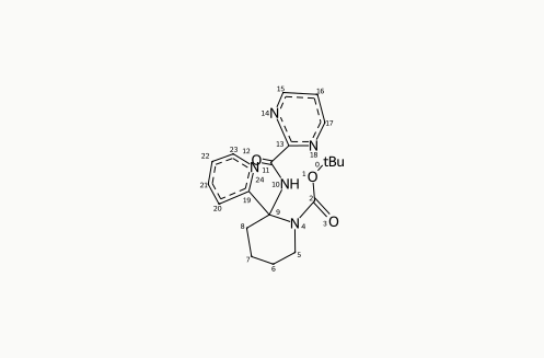 CC(C)(C)OC(=O)N1CCCCC1(NC(=O)c1ncccn1)c1ccccn1